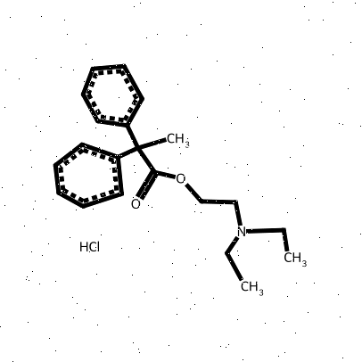 CCN(CC)CCOC(=O)C(C)(c1ccccc1)c1ccccc1.Cl